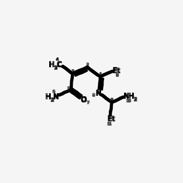 CCC(C=C(C)C(N)=O)=NC(N)CC